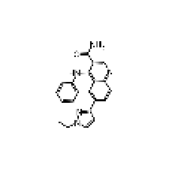 CCn1ccc(-c2ccc3ncc(C(N)=O)c(Nc4ccccc4)c3c2)n1